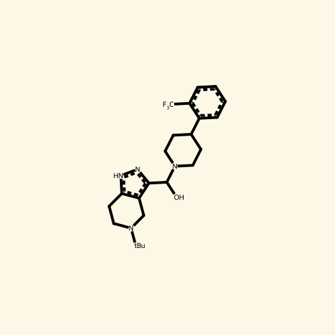 CC(C)(C)N1CCc2[nH]nc(C(O)N3CCC(c4ccccc4C(F)(F)F)CC3)c2C1